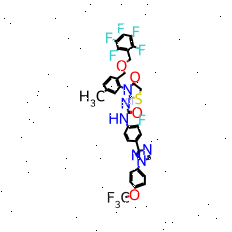 Cc1ccc(COCc2c(F)c(F)c(F)c(F)c2F)c(N2C(=O)CS/C2=N\C(=O)Nc2ccc(-c3ncn(-c4ccc(OC(F)(F)F)cc4)n3)cc2F)c1